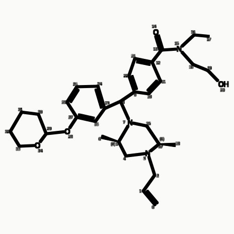 C=CCN1C[C@@H](C)N(C(c2ccc(C(=O)N(CC)CCO)cc2)c2cccc(OC3CCCCO3)c2)C[C@H]1C